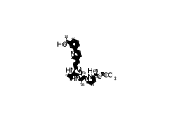 C=C(C)[C@H](NC(=O)CCc1ccc(-c2cccc([C@@H](C)O)c2)nc1)C(=O)N[C@@H](C)C(=O)N1CCC[C@@H](C(=O)OCC(Cl)(Cl)Cl)N1